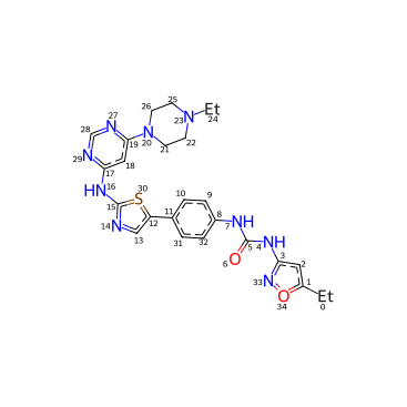 CCc1cc(NC(=O)Nc2ccc(-c3cnc(Nc4cc(N5CCN(CC)CC5)ncn4)s3)cc2)no1